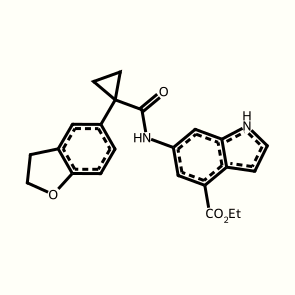 CCOC(=O)c1cc(NC(=O)C2(c3ccc4c(c3)CCO4)CC2)cc2[nH]ccc12